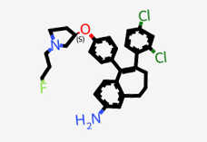 Nc1ccc2c(c1)CCCC(c1ccc(Cl)cc1Cl)=C2c1ccc(O[C@H]2CCN(CCCF)C2)cc1